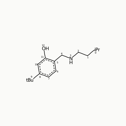 CC(C)CCNCc1ccc(C(C)(C)C)cc1O